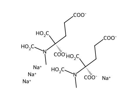 CN(C(=O)O)[C@@](CCC(=O)[O-])(C(=O)[O-])C(=O)O.CN(C(=O)O)[C@@](CCC(=O)[O-])(C(=O)[O-])C(=O)O.[Na+].[Na+].[Na+].[Na+]